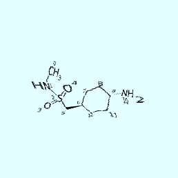 CNS(=O)(=O)C[C@H]1CC[C@H](N)CC1